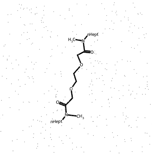 CCCCCCCN(C)C(=O)COCCOCC(=O)N(C)CCCCCCC